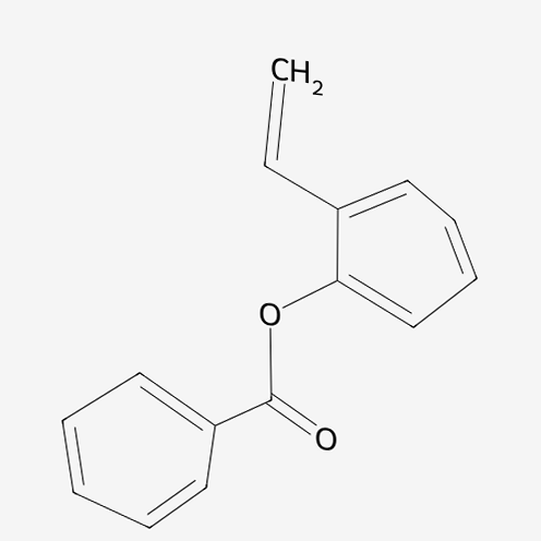 C=Cc1ccccc1OC(=O)c1ccccc1